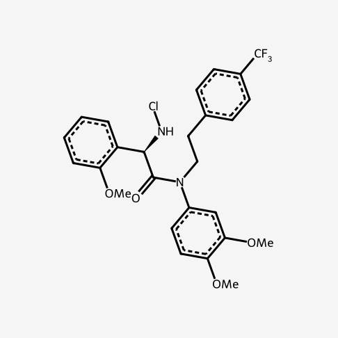 COc1ccc(N(CCc2ccc(C(F)(F)F)cc2)C(=O)[C@H](NCl)c2ccccc2OC)cc1OC